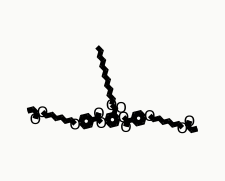 C=CC(=O)OCCCCCCOc1ccc(C(=O)Oc2ccc(OC(=O)c3ccc(OCCCCCCOC(=O)C=C)cc3)c(C(=O)OCCCCCCCCCCCC)c2)cc1